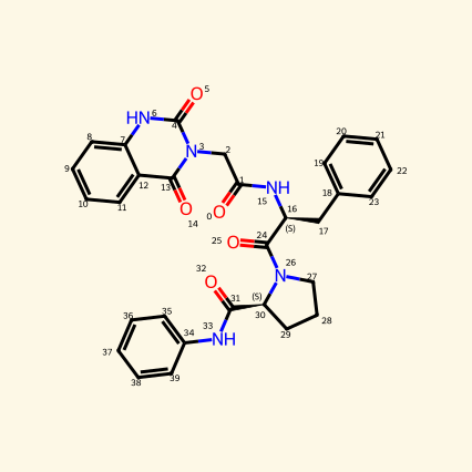 O=C(Cn1c(=O)[nH]c2ccccc2c1=O)N[C@@H](Cc1ccccc1)C(=O)N1CCC[C@H]1C(=O)Nc1ccccc1